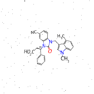 Cc1cccc2c1c(Cn1c(=O)n([C@H](CC(=O)O)c3ccccc3)c3cc(C#N)ccc31)cn2C